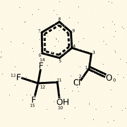 O=C(Cl)Cc1ccccc1.OCC(F)(F)F